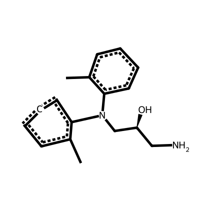 Cc1ccccc1N(C[C@@H](O)CN)c1ccccc1C